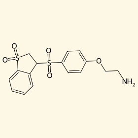 NCCOc1ccc(S(=O)(=O)C2CS(=O)(=O)c3ccccc32)cc1